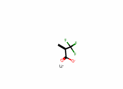 C=C(C(=O)[O-])C(F)(F)F.[Li+]